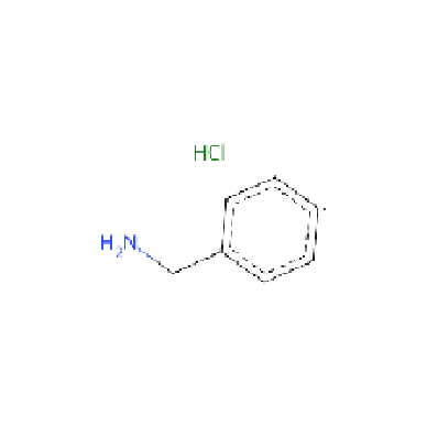 Cl.NCc1cc[c]cc1